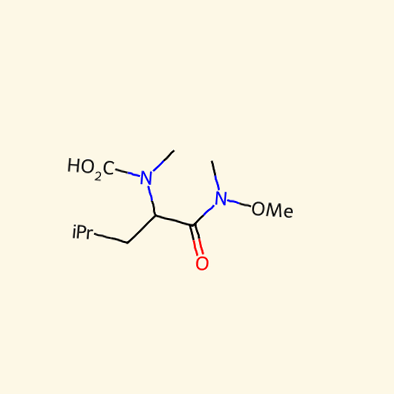 CON(C)C(=O)C(CC(C)C)N(C)C(=O)O